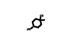 CCCN1CCC(C)(C#N)CC1